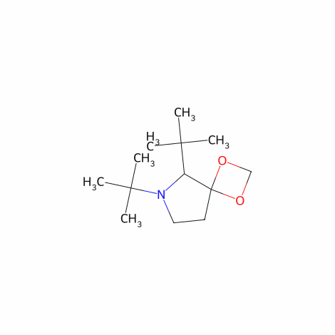 CC(C)(C)C1N(C(C)(C)C)CCC12OCO2